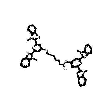 CCC(CCCCCOc1cc(-c2nc3ccccc3n2C)nc(-c2nc3ccccc3n2C)c1)Oc1cc(-c2nc3ccccc3n2C)nc(-c2nc3ccccc3n2C)c1